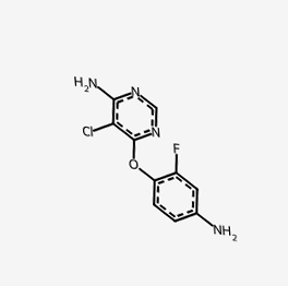 Nc1ccc(Oc2ncnc(N)c2Cl)c(F)c1